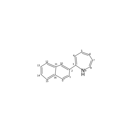 [c]1cc(C2=CC=CC=CN2)cc2ccccc12